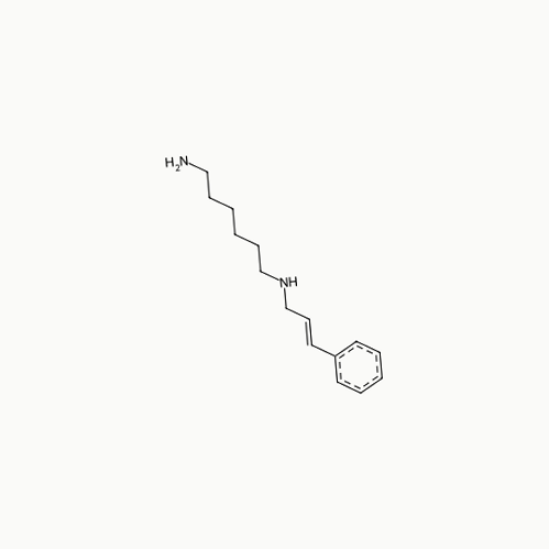 NCCCCCCNCC=Cc1ccccc1